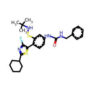 CC(C)(C)NSc1cc(NC(=O)NCc2ccccc2)ccc1-c1sc(C2CCCCC2)nc1F